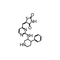 O=C1NC(=O)/C(=C\c2ccnc(NC3CNCCC3c3ccccc3)n2)S1